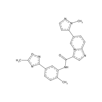 Cc1nc(-c2ccc(C)c(NC(=O)c3cnc4ccc(-c5ccnn5C)cn34)c2)no1